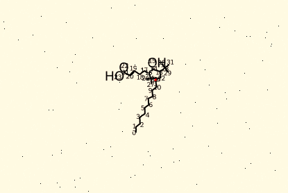 CCCCCCCCCCCCCC(C(O)C(CCC=CC(=O)O)C(C)(C)C)C(C)(C)C